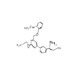 NC(CO)c1cccc(-c2cc(COc3ccccc3CC(=O)O)cc(OCC(F)(F)F)c2)c1